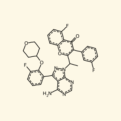 CC(c1oc2cccc(F)c2c(=O)c1-c1cccc(F)c1)n1nc(-c2cccc(F)c2OC2CCOCC2)c2c(N)ncnc21